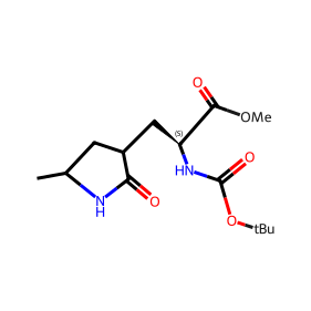 COC(=O)[C@H](CC1CC(C)NC1=O)NC(=O)OC(C)(C)C